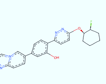 Oc1cc(-c2ccc3nccn3c2)ccc1-c1ccc(O[C@@H]2CCCC[C@@H]2F)nn1